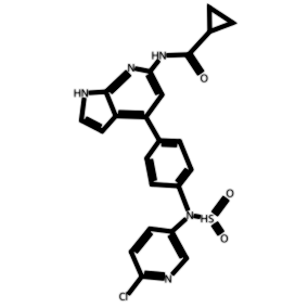 O=C(Nc1cc(-c2ccc(N(c3ccc(Cl)nc3)[SH](=O)=O)cc2)c2cc[nH]c2n1)C1CC1